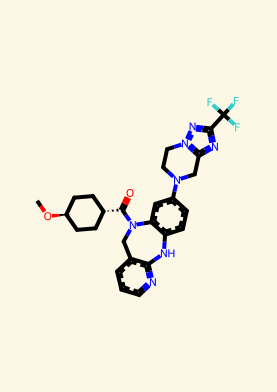 CO[C@H]1CC[C@H](C(=O)N2Cc3cccnc3Nc3ccc(N4CCn5nc(C(F)(F)F)nc5C4)cc32)CC1